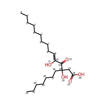 CCCCCCCCC/C=C(\O)C(=O)C(O)(CCCCCCC)CC(=O)O